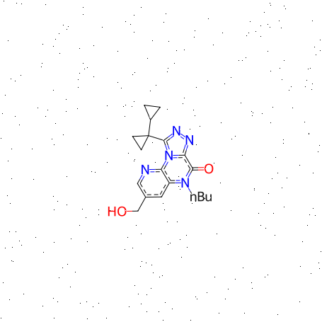 CCCCn1c(=O)c2nnc(C3(C4CC4)CC3)n2c2ncc(CO)cc21